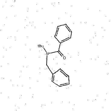 CC(C)(C)N(Cc1ccccc1)C(=O)c1ccccc1